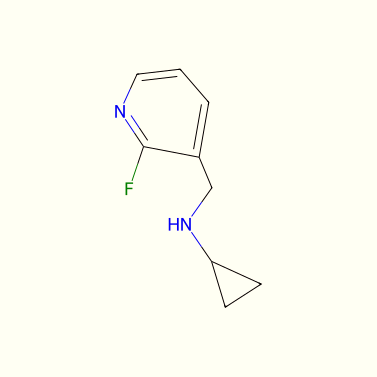 Fc1ncccc1CNC1CC1